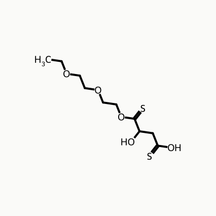 CCOCCOCCOC(=S)C(O)CC(O)=S